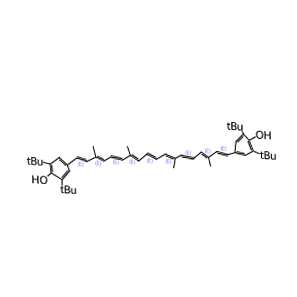 CC(/C=C/C=C(C)/C=C/c1cc(C(C)(C)C)c(O)c(C(C)(C)C)c1)=C\C=C\C=C(C)\C=C\C=C(C)\C=C\c1cc(C(C)(C)C)c(O)c(C(C)(C)C)c1